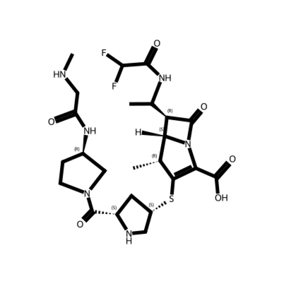 CNCC(=O)N[C@@H]1CCN(C(=O)[C@@H]2C[C@H](SC3=C(C(=O)O)N4C(=O)[C@H](C(C)NC(=O)C(F)F)[C@H]4[C@H]3C)CN2)C1